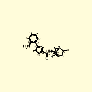 CC1CC2CCN1C[C@@H]2NC(=O)c1ccc(-c2ccccc2N)s1